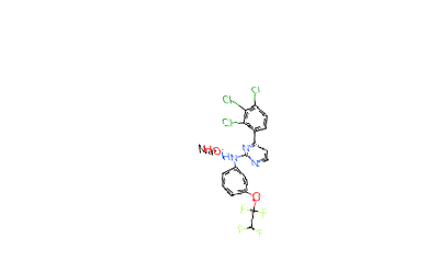 FC(F)C(F)(F)Oc1cccc(Nc2nccc(-c3ccc(Cl)c(Cl)c3Cl)n2)c1.[Na+].[OH-]